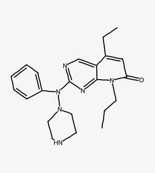 CCCn1c(=O)cc(CC)c2cnc(N(c3ccccc3)N3CCNCC3)nc21